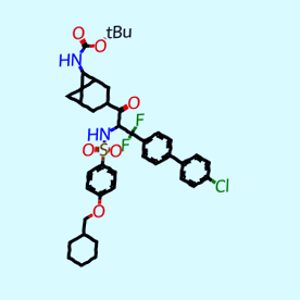 CC(C)(C)OC(=O)NC1C2CC(C(=O)C(NS(=O)(=O)c3ccc(OCC4CCCCC4)cc3)C(F)(F)c3ccc(-c4ccc(Cl)cc4)cc3)CC3CC321